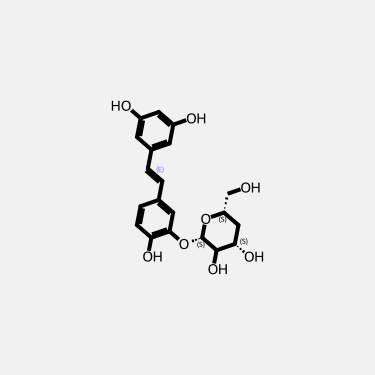 OC[C@@H]1C[C@H](O)C(O)[C@H](Oc2cc(/C=C/c3cc(O)cc(O)c3)ccc2O)O1